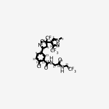 Cn1cc(C2(C(F)(F)F)CC(c3ccc(Cl)c(C(=O)NCC(=O)NCC(F)(F)F)c3)=NO2)c(C(F)(F)F)n1